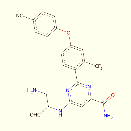 N#Cc1ccc(Oc2ccc(-c3nc(N[C@H](C=O)CN)cc(C(N)=O)n3)c(C(F)(F)F)c2)cc1